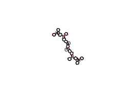 c1ccc(N(c2ccc3cc4c(cc3c2)oc2cc3c(cc24)oc2cc4cc(N(c5ccccc5)c5ccc6c(c5)c5ccccc5n6-c5ccccc5)ccc4cc23)c2ccc3c(c2)c2ccccc2n3-c2ccccc2)cc1